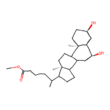 COC(=O)CCCC(C)C1CCC2C3C[C@H](O)C4C[C@H](O)CC[C@]4(C)C3CC[C@]12C